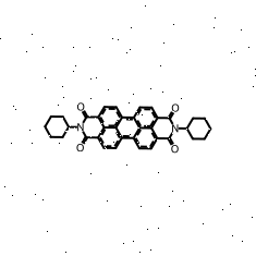 O=C1c2ccc3c4ccc5c6c(ccc(c7ccc(c2c37)C(=O)N1C1CCCCC1)c64)C(=O)N(C1CCCCC1)C5=O